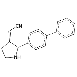 N#C/C=C1/CCNC1c1ccc(-c2ccccc2)cc1